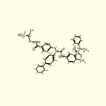 Cc1ccc(NC(=O)N(Cc2ccc(C(=O)NCC(F)C(=O)O)cc2)c2ccc(C3=CCCCC3)cc2)cc1S(=O)(=O)N(C)c1ccccc1